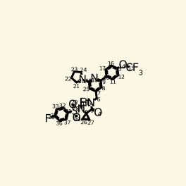 CCN(C1(C(=O)NCc2cc(-c3ccc(OC(F)(F)F)cc3)nc(N3CCCC3)c2)CC1)S(=O)(=O)c1ccc(F)cc1